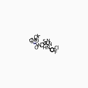 CC(C)(C)OC(=O)N1CCC[C@H]1/C=C/C(=O)N1CCc2c(sc3ncnc(Nc4ccc(F)c(Cl)c4)c23)C1